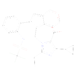 CCc1nc(C2CC2)c(C(=O)O)n1Cc1c2ccocc-2cc1-c1ccccc1NS(=O)(=O)C(F)(F)F